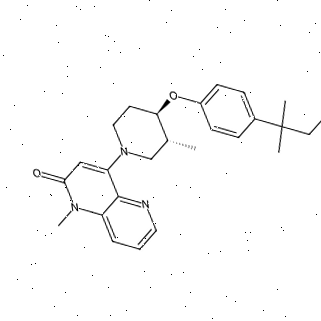 CCC(C)(C)c1ccc(O[C@@H]2CCN(c3cc(=O)n(C)c4cccnc34)C[C@H]2C)cc1